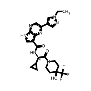 CCn1cc(-c2cnc3[nH]cc(C(=O)N[C@@H](C(=O)N4CCC(O)(C(F)(F)F)CC4)C4CC4)c3n2)cn1